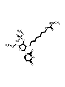 CNC(=O)NCCCC/C=C/C[C@H]1C(OP(O)(=S)OC)[C@@H](COC)O[C@H]1n1ccc(=O)[nH]c1=O